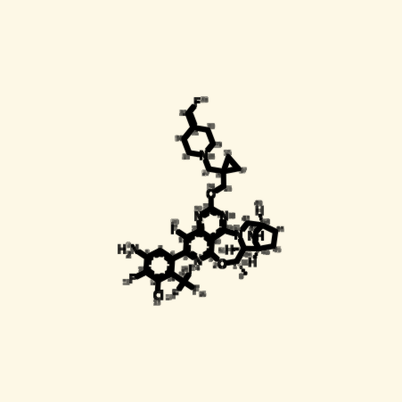 C[C@@H]1Oc2nc(-c3cc(N)c(F)c(Cl)c3C(F)(F)F)c(F)c3nc(OCC4(CN5CCC(=CF)CC5)CC4)nc(c23)N2C[C@H]3CC[C@H](N3)[C@@H]12